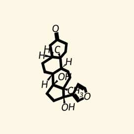 C[C@]12CCC(=O)C[C@H]1CC[C@@H]1[C@@H]2CC[C@]2(C)[C@](O)(c3ccoc3)CC[C@]12O